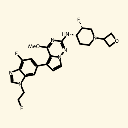 COc1nc(N[C@H]2CCN(C3COC3)C[C@H]2F)nn2ccc(-c3cc(F)c4ncn(CCF)c4c3)c12